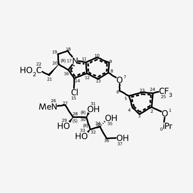 CC(C)Oc1ccc(COc2ccc3c(c2)c(Cl)c2n3CC[C@@H]2CC(=O)O)cc1C(F)(F)F.CNC[C@H](O)[C@@H](O)[C@H](O)[C@H](O)CO